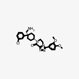 COc1ccc(-c2nnc3n2CCN([C@H]2CC[C@](CN)(c4cccc(Cl)c4)CC2)C3=O)cc1OC